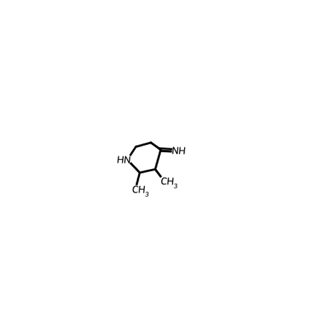 CC1NCCC(=N)C1C